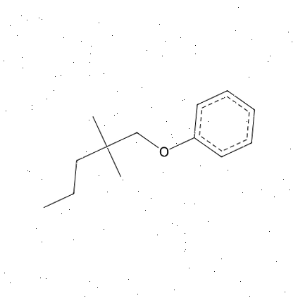 CCCC(C)(C)COc1ccccc1